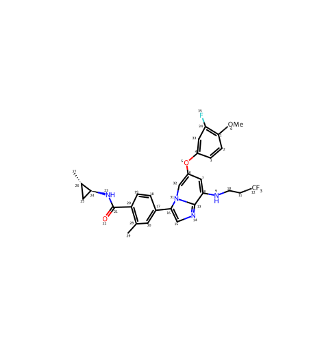 COc1ccc(Oc2cc(NCCC(F)(F)F)c3ncc(-c4ccc(C(=O)N[C@H]5C[C@@H]5C)c(C)c4)n3c2)cc1F